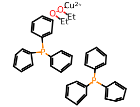 CC[O-].CC[O-].[Cu+2].c1ccc(P(c2ccccc2)c2ccccc2)cc1.c1ccc(P(c2ccccc2)c2ccccc2)cc1